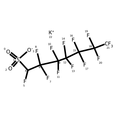 O=S(=O)([O-])C(F)C(F)(F)C(F)(F)C(F)(F)C(F)(F)C(F)(F)C(F)(F)F.[K+]